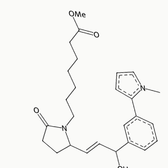 COC(=O)CCCCCCN1C(=O)CCC1C=CC(O)c1cccc(-c2cccn2C)c1